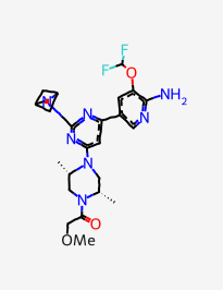 COCC(=O)N1C[C@H](C)N(c2cc(-c3cnc(N)c(OC(F)F)c3)nc(N3CC4CC3C4)n2)C[C@@H]1C